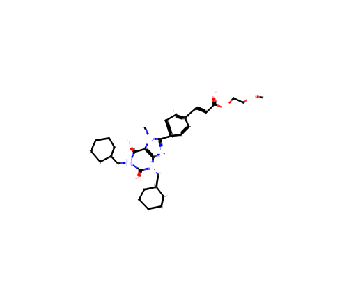 COCCOC(=O)/C=C/c1ccc(-c2nc3c(c(=O)n(CC4CCCCC4)c(=O)n3CC3CCCCC3)n2C)cc1